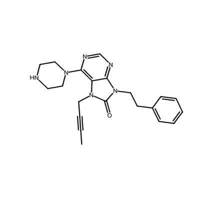 CC#CCn1c(=O)n(CCc2ccccc2)c2ncnc(N3CCNCC3)c21